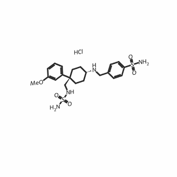 COc1cccc([C@]2(CNS(N)(=O)=O)CC[C@H](NCc3ccc(S(N)(=O)=O)cc3)CC2)c1.Cl